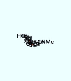 CNCCOc1ccc2c(c1)[C@@]1(C)CCC[C@](C)(C(=O)NC(=O)[C@@]3(C)CCC[C@]4(C)c5cc(O)ccc5CC[C@@H]34)[C@@H]1CC2